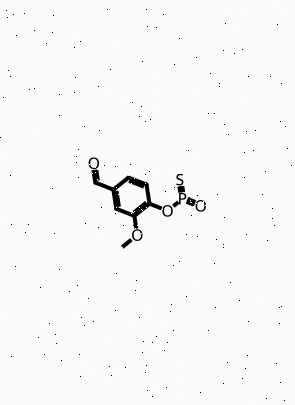 COc1cc(C=O)ccc1OP(=O)=S